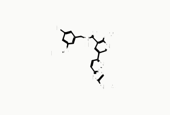 COc1ncc(-c2ccc3nc(NC(C)=O)cn3n2)cc1C(=O)NCc1cc(F)cc(OC(F)(F)F)c1